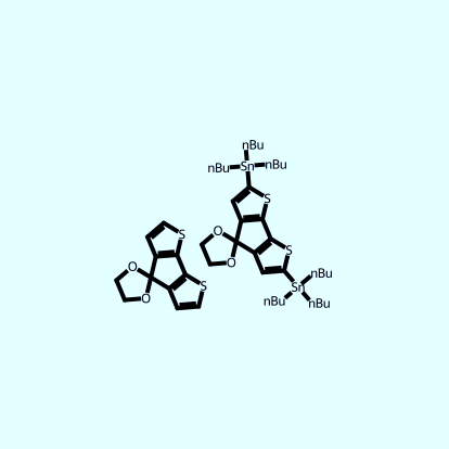 CCC[CH2][Sn]([CH2]CCC)([CH2]CCC)[c]1cc2c(s1)-c1s[c]([Sn]([CH2]CCC)([CH2]CCC)[CH2]CCC)cc1C21OCCO1.c1cc2c(s1)-c1sccc1C21OCCO1